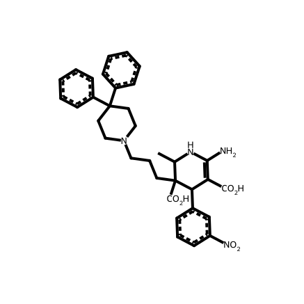 CC1NC(N)=C(C(=O)O)C(c2cccc([N+](=O)[O-])c2)C1(CCCN1CCC(c2ccccc2)(c2ccccc2)CC1)C(=O)O